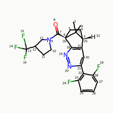 CC1(C)[C@@H]2CC[C@@]1(C(=O)N1CCC(C(F)(F)F)C1)c1nnc(-c3c(F)cccc3F)cc12